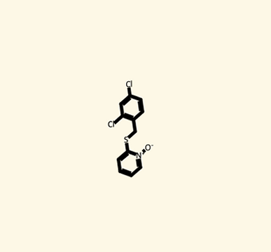 [O-][n+]1ccccc1SCc1ccc(Cl)cc1Cl